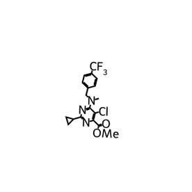 COC(=O)c1nc(C2CC2)nc(N(C)Cc2ccc(C(F)(F)F)cc2)c1Cl